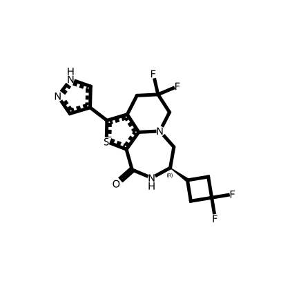 O=C1N[C@H](C2CC(F)(F)C2)CN2CC(F)(F)Cc3c(-c4cn[nH]c4)sc1c32